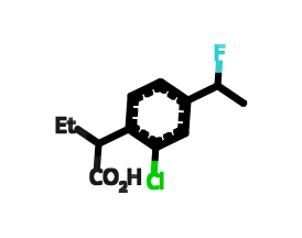 CCC(C(=O)O)c1ccc(C(C)F)cc1Cl